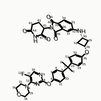 CC(C)(c1ccc(Oc2ncc(F)c(N3CCOCC3)n2)cc1)c1ccc(O[C@H]2C[C@@H](Nc3ccc4c(c3)C(=O)N(C3CCC(=O)NC3=O)C4=O)C2)cc1